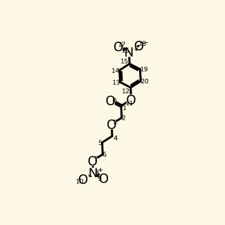 O=C(COCCCO[N+](=O)[O-])Oc1ccc([N+](=O)[O-])cc1